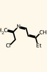 C=C(CCl)/N=C\C=C(/C)CC